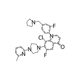 Cc1cccc(N2CCN(c3c(F)cc4c(=O)ccn(-c5ccc(CN6CCCC6)cc5F)c4c3Cl)CC2)n1